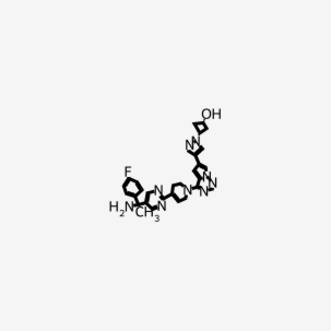 CC(N)(c1ccc(F)cc1)c1cnc(C2=CCN(c3ncnn4cc(-c5cnn([C@H]6C[C@@H](O)C6)c5)cc34)CC2)nc1